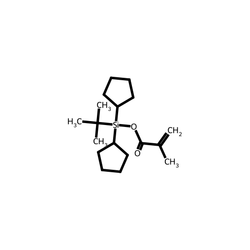 C=C(C)C(=O)O[Si](C1CCCC1)(C1CCCC1)C(C)(C)C